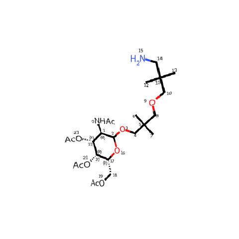 CC(=O)N[C@H]1C(OCC(C)(C)COCC(C)(C)CN)O[C@H](COC(C)=O)[C@H](OC(C)=O)[C@@H]1OC(C)=O